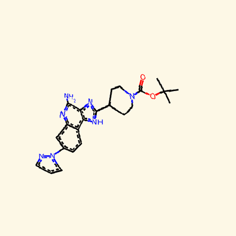 CC(C)(C)OC(=O)N1CCC(c2nc3c(N)nc4cc(-n5cccn5)ccc4c3[nH]2)CC1